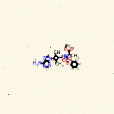 C=C1[C@@H](n2cnc3c(N)ncnc32)[C@H](C#N)[C@H]1COP(=O)(N[C@@H](C)C(=O)OC(C)C)Oc1ccccc1